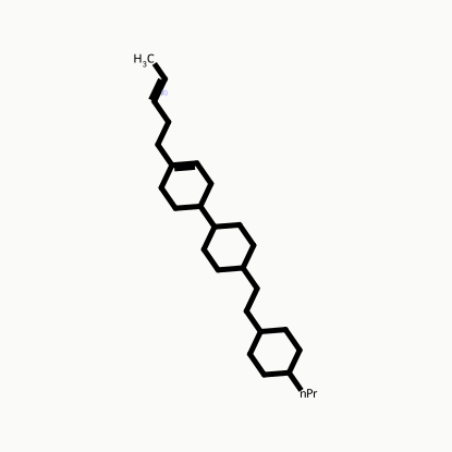 C/C=C/CCC1=CCC(C2CCC(CCC3CCC(CCC)CC3)CC2)CC1